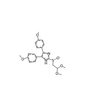 COc1ccc(-c2nc([S+]([O-])CC(OC)OC)[nH]c2-c2ccc(OC)cc2)cc1